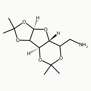 CC1(C)OC2[C@H](O[C@@H]3C(CN)OC(C)(C)O[C@@H]23)O1